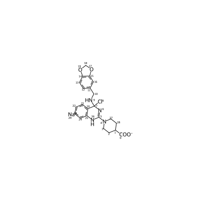 O=C([O-])C1CCN(C2=NC(Cl)(NCc3ccc4c(c3)OCO4)c3ccccc3N2)CC1.[Na+]